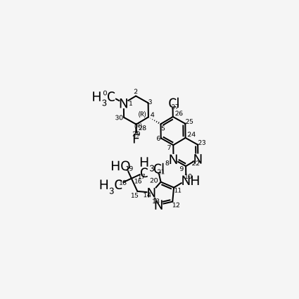 CN1CC[C@H](c2cc3nc(Nc4cnn(CC(C)(C)O)c4Cl)ncc3cc2Cl)[C@@H](F)C1